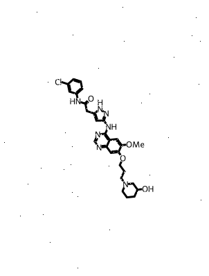 COc1cc2c(Nc3cc(CC(=O)Nc4cccc(Cl)c4)[nH]n3)ncnc2cc1OCCCN1CCCC(O)C1